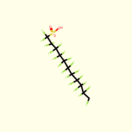 O=S(=O)(O)C(F)(F)C(F)(F)C(F)(F)C(F)(F)C(F)(F)C(F)(F)C(F)(F)C(F)(F)C(F)(F)C(F)(F)CF